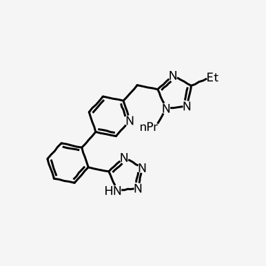 CCCn1nc(CC)nc1Cc1ccc(-c2ccccc2-c2nnn[nH]2)cn1